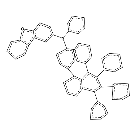 c1ccc(-c2c(-c3ccccc3)c(-c3ccccc3)c3c(-c4ccc(N(c5ccccc5)c5ccc6oc7ccccc7c6c5)cc4)cccc3c2-c2ccccc2)cc1